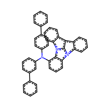 c1ccc(-c2ccc(N(c3cccc(-c4ccccc4)c3)c3cccc4c3n3c5ccccc5c5c6ccccc6n4c53)cc2)cc1